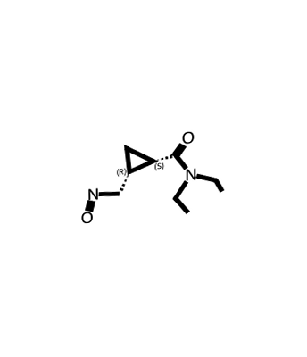 CCN(CC)C(=O)[C@H]1C[C@H]1CN=O